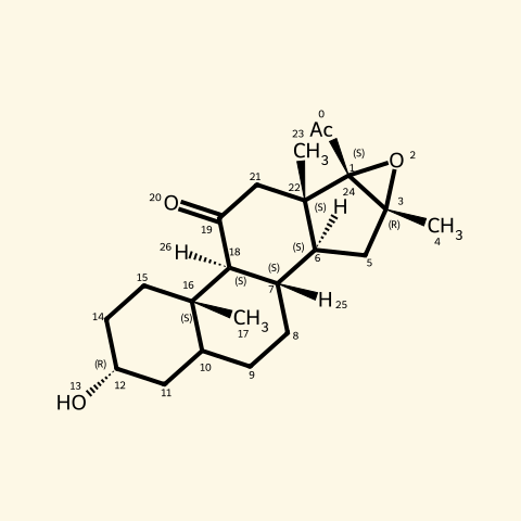 CC(=O)[C@@]12O[C@]1(C)C[C@H]1[C@@H]3CCC4C[C@H](O)CC[C@]4(C)[C@H]3C(=O)C[C@@]12C